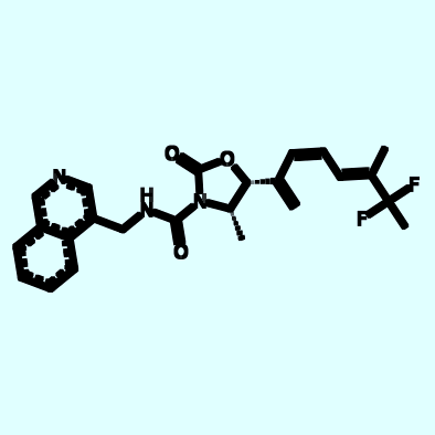 C=C(/C=C\C=C(/C)C(C)(F)F)[C@H]1OC(=O)N(C(=O)NCc2cncc3ccccc23)[C@H]1C